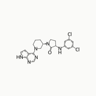 O=C1C(Nc2cc(Cl)cc(Cl)c2)CCN1[C@@H]1CCCN(c2ncnc3[nH]ccc23)C1